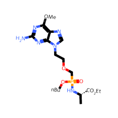 CCCCOP(=O)(COCCn1cnc2c(OC)nc(N)nc21)N[C@@H](C)C(=O)OCC